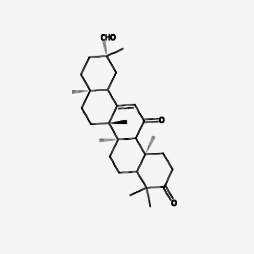 CC1(C)C(=O)CC[C@@]2(C)C1CC[C@]1(C)C2C(=O)C=C2C3C[C@@](C)(C=O)CC[C@]3(C)CC[C@]21C